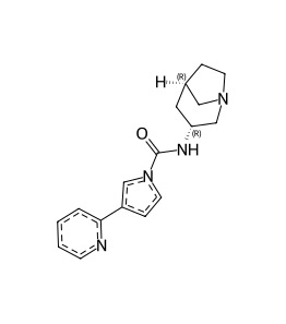 O=C(N[C@@H]1C[C@H]2CCN(C2)C1)n1ccc(-c2ccccn2)c1